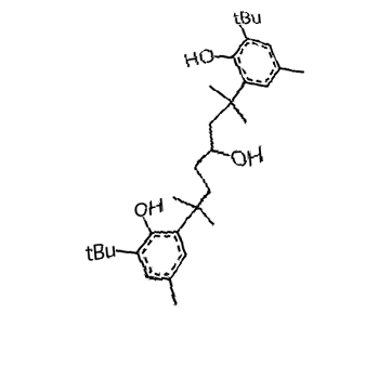 Cc1cc(C(C)(C)C)c(O)c(C(C)(C)CCC(O)CC(C)(C)c2cc(C)cc(C(C)(C)C)c2O)c1